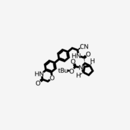 CC(C)(C)OC(=O)N1[C@@H]2CC[C@@H](C2)[C@H]1C(=O)N[C@H](C#N)Cc1ccc(-c2ccc3c(c2)OCC(=O)N3)cc1